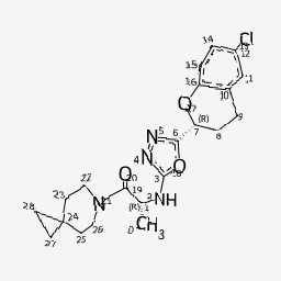 C[C@@H](Nc1nnc([C@H]2CCc3cc(Cl)ccc3O2)o1)C(=O)N1CCC2(CC1)CC2